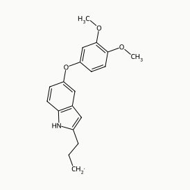 [CH2]CCc1cc2cc(Oc3ccc(OC)c(OC)c3)ccc2[nH]1